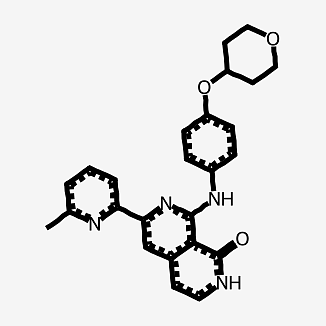 Cc1cccc(-c2cc3cc[nH]c(=O)c3c(Nc3ccc(OC4CCOCC4)cc3)n2)n1